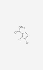 COC(=O)C1=C(C)C(Br)=CC1